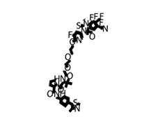 Cc1ncsc1-c1ccc(CNC(=O)C2CCCN2C(=O)C(NC(=O)COCCOCCCOc2ncc(N(C(=S)N(C)c3ccc(C#N)c(C(F)(F)F)c3F)C(C)(C)C=O)cc2F)C(C)(C)C)cc1